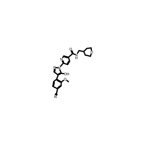 COc1cc(C#N)ccc1-c1cnn(-c2ccc(C(=O)NCC3CCOCC3)cn2)c1O